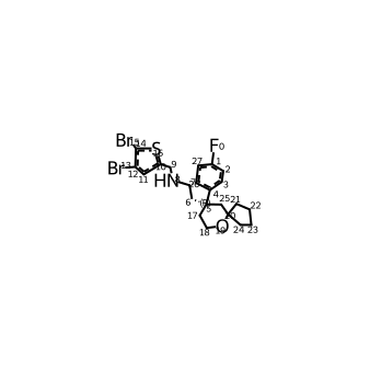 Fc1ccc([C@]2(CCNCc3cc(Br)c(Br)s3)CCOC3(CCCC3)C2)cc1